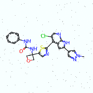 Cn1cc(-c2cc3c(-c4ncc(C5(NC(=O)Nc6ccccc6)COC5)s4)c(Cl)cnc3[nH]2)cn1